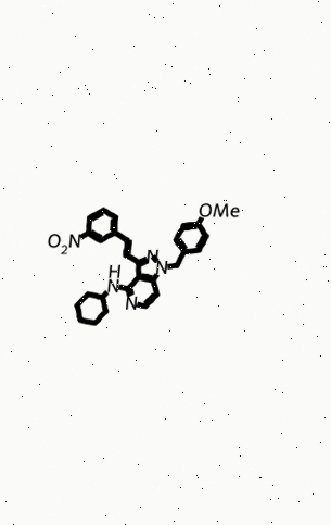 COc1ccc(Cn2nc(C=Cc3cccc([N+](=O)[O-])c3)c3c(NC4CCCCC4)nccc32)cc1